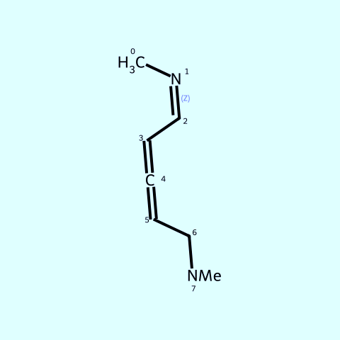 C/N=C\C=C=CCNC